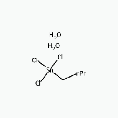 CCC[CH2][Sn]([Cl])([Cl])[Cl].O.O